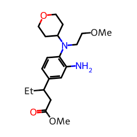 CCC(CC(=O)OC)c1ccc(N(CCOC)C2CCOCC2)c(N)c1